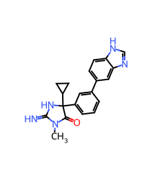 CN1C(=N)NC(c2cccc(-c3ccc4[nH]cnc4c3)c2)(C2CC2)C1=O